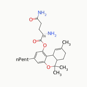 CCCCCc1cc(OC(=O)[C@@H](N)CCC(N)=O)c2c(c1)OC(C)(C)C1CCC(C)=CC21